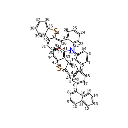 c1cc(-c2ccc(-c3cccc4ccccc34)cc2)cc(N(c2ccccc2-c2cccc3c2sc2ccccc23)c2cccc3sc4ccccc4c23)c1